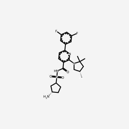 C[C@@H]1CN(c2nc(-c3cc(F)cc(F)c3)ccc2C(=O)NS(=O)(=O)C2CC[C@H](N)C2)C(C)(C)C1